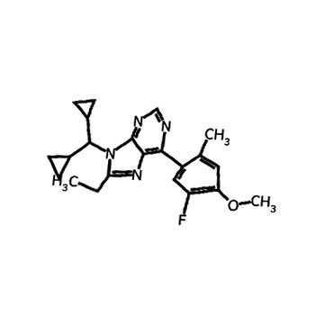 CCc1nc2c(-c3cc(F)c(OC)cc3C)ncnc2n1C(C1CC1)C1CC1